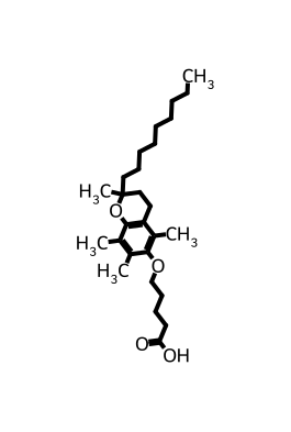 CCCCCCCCCC1(C)CCc2c(C)c(OCCCCC(=O)O)c(C)c(C)c2O1